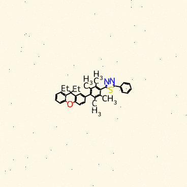 CCC1(CC)c2ccccc2Oc2ccc(-c3c(C)c(C)c(-c4nnc(-c5ccccc5)s4)c(C)c3C)cc21